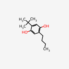 CCCCc1cc(O)c(C(C)(C)C)cc1O